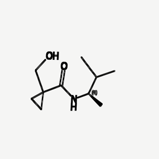 CC(C)[C@@H](C)NC(=O)C1(CO)CC1